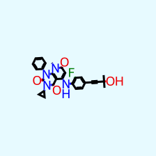 Cn1c(=O)cc(Nc2ccc(C#CC(C)(C)O)cc2F)c2c(=O)n(C3CC3)c(=O)n(-c3ccccc3)c21